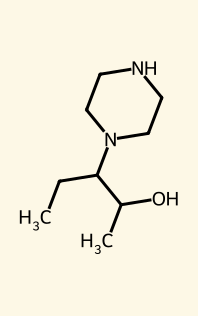 CCC(C(C)O)N1CCNCC1